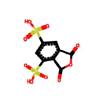 O=C1OC(=O)c2c1cc(S(=O)(=O)O)cc2S(=O)(=O)O